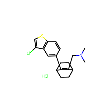 CN(C)CC1=C(c2ccc3scc(Cl)c3c2)C2CCC1CC2.Cl